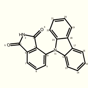 O=C1NC(=O)c2c1cccc2-n1c2ccccc2c2ccccc21